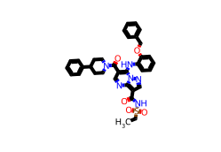 CCS(=O)(=O)NC(=O)c1cnn2c(Nc3ccccc3OCc3ccccc3)c(C(=O)N3CCC(c4ccccc4)CC3)cnc12